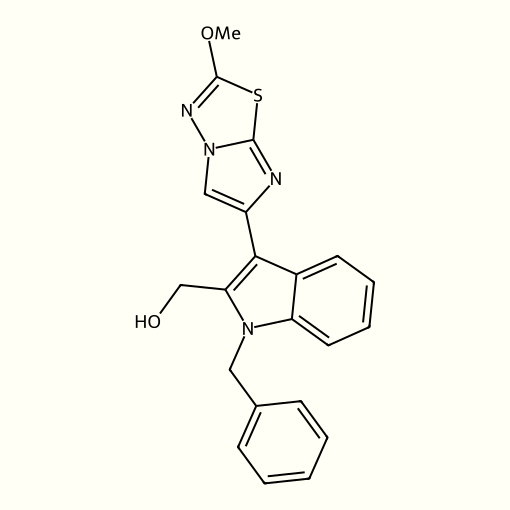 COc1nn2cc(-c3c(CO)n(Cc4ccccc4)c4ccccc34)nc2s1